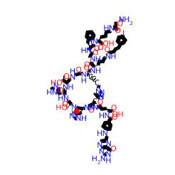 C[C@H](O)[C@H]1NC(=O)[C@@H](Cc2cnc[nH]2)NC(=O)[C@@H](CO)NC(=O)[C@@H](Cc2cnc[nH]2)NC(=O)[C@@H](NC(=O)CC[C@H](NC(=O)c2ccc(NCc3cnc4nc(N)[nH]c(=O)c4n3)cc2)C(=O)O)Cc2cn(nn2)CCCC[C@@H](C(=O)N[C@@H](CCCCNC(=O)CCCc2ccc(I)cc2)C(=O)NCC(=O)N[C@@H](Cc2ccccc2)C(=O)N[C@@H](CCCCNC(=O)CON)C(=O)O)NC(=O)[C@@H](C)NC1=O